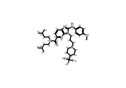 COc1ccc(Nc2nc3ccc(C(=O)N(CCC(C)C)CCC(C)C)nc3n2CCCN2CCC(C(F)(F)F)CC2)cc1